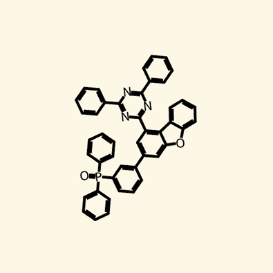 O=P(c1ccccc1)(c1ccccc1)c1cccc(-c2cc(-c3nc(-c4ccccc4)nc(-c4ccccc4)n3)c3c(c2)oc2ccccc23)c1